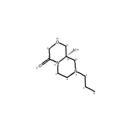 CCCN1CCN2C(=O)COC[C@H]2C1